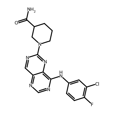 NC(=O)C1CCCN(c2ncc3ncnc(Nc4ccc(F)c(Cl)c4)c3n2)C1